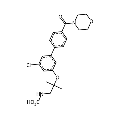 CC(C)(CNC(=O)O)Oc1cc(Cl)cc(-c2ccc(C(=O)N3CCOCC3)cc2)c1